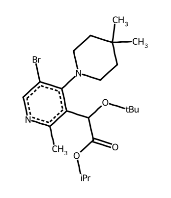 Cc1ncc(Br)c(N2CCC(C)(C)CC2)c1C(OC(C)(C)C)C(=O)OC(C)C